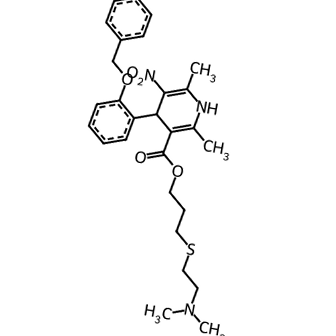 CC1=C(C(=O)OCCCSCCN(C)C)C(c2ccccc2OCc2ccccc2)C([N+](=O)[O-])=C(C)N1